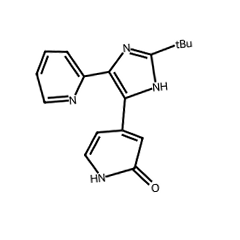 CC(C)(C)c1nc(-c2ccccn2)c(-c2cc[nH]c(=O)c2)[nH]1